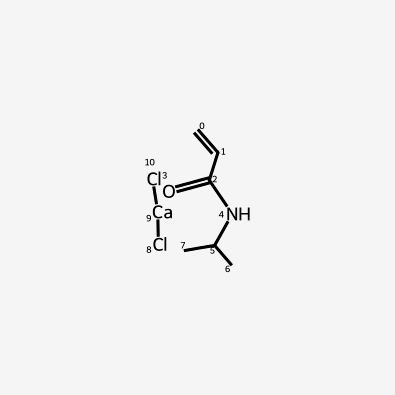 C=CC(=O)NC(C)C.[Cl][Ca][Cl]